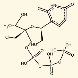 C[C@H](O)[C@@](CCl)(COP(=O)(O)OP(=O)(O)OP(=O)(O)O)O[C@H](CO)n1ccc(=O)[nH]c1=O